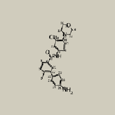 Cc1ccc(C(=O)Nc2ccc(N3CCOCC3)c(Cl)c2)cc1-c1ccc(N)cc1